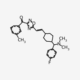 Cc1cccc(C(=O)c2noc(/C=C/C3CCC(C(c4ccc(F)cc4)N(C)C)CC3)n2)c1